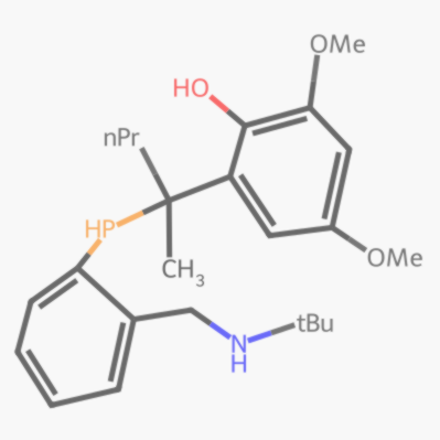 CCCC(C)(Pc1ccccc1CNC(C)(C)C)c1cc(OC)cc(OC)c1O